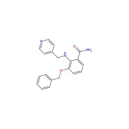 NC(=O)c1cccc(OCc2ccccc2)c1NCc1ccncc1